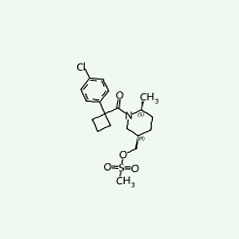 C[C@H]1CC[C@@H](COS(C)(=O)=O)CN1C(=O)C1(c2ccc(Cl)cc2)CCC1